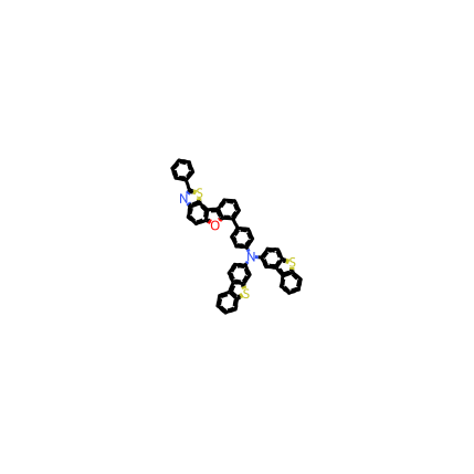 c1ccc(-c2nc3ccc4oc5c(-c6ccc(N(c7ccc8c(c7)sc7ccccc78)c7ccc8sc9ccccc9c8c7)cc6)cccc5c4c3s2)cc1